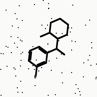 CC1CCCCC1C(C)c1cccc(F)c1